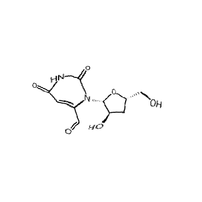 O=Cc1cc(=O)[nH]c(=O)n1[C@@H]1O[C@H](CO)C[C@H]1O